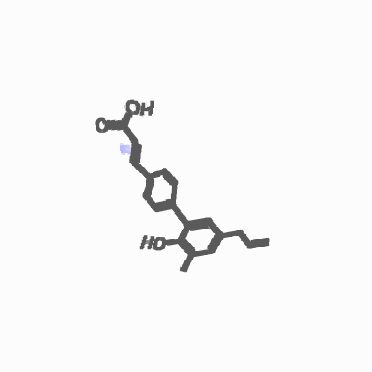 C=CCc1cc(C)c(O)c(-c2ccc(/C=C/C(=O)O)cc2)c1